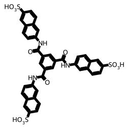 O=C(Nc1ccc2cc(S(=O)(=O)O)ccc2c1)c1cc(C(=O)Nc2ccc3cc(S(=O)(=O)O)ccc3c2)cc(C(=O)Nc2ccc3cc(S(=O)(=O)O)ccc3c2)c1